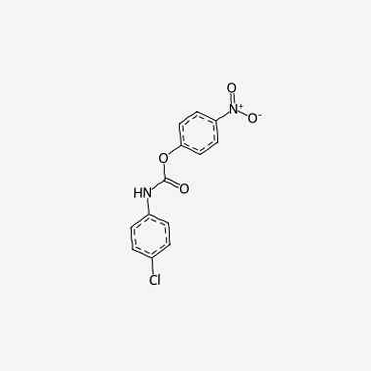 O=C(Nc1ccc(Cl)cc1)Oc1ccc([N+](=O)[O-])cc1